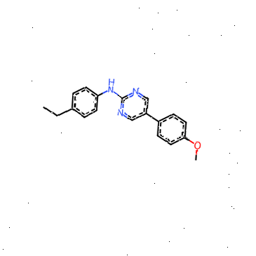 CCc1ccc(Nc2ncc(-c3ccc(OC)cc3)cn2)cc1